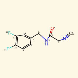 [C-]#[N+]CC(=O)NCc1ccc(F)c(F)c1